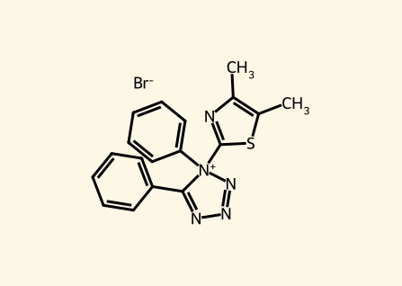 Cc1nc([N+]2(c3ccccc3)N=NN=C2c2ccccc2)sc1C.[Br-]